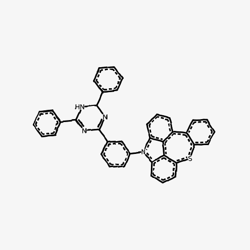 c1ccc(C2=NC(c3cccc(-n4c5cccc6sc7ccccc7c7cccc4c7c65)c3)=NC(c3ccccc3)N2)cc1